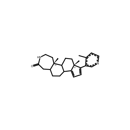 Cc1ccncc1C1=CC=C2C3CCC4CC(=O)NCC[C@]4(C)C3CC[C@]12C